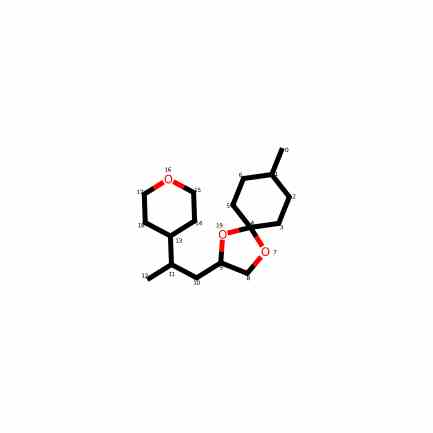 CC1CCC2(CC1)OCC(CC(C)C1CCOCC1)O2